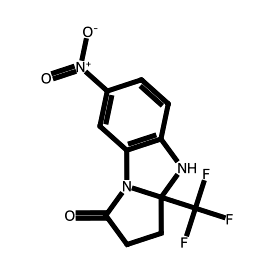 O=C1CCC2(C(F)(F)F)Nc3ccc([N+](=O)[O-])cc3N12